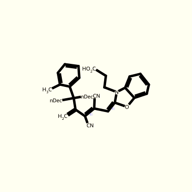 C=C(/C(C#N)=C(C#N)/C=C1/Oc2ccccc2N1CCC(=O)O)C(CCCCCCCCCC)(CCCCCCCCCC)c1ccccc1C